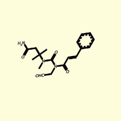 CN(C(=O)N(C[C]=O)C(=O)/C=C/c1ccccc1)C(C)(C)CC(N)=O